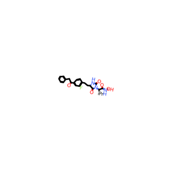 CC(C)C(C(=O)NO)N1C(=O)NC(CCc2ccc(C(=O)Cc3ccccc3)cc2F)C1=O